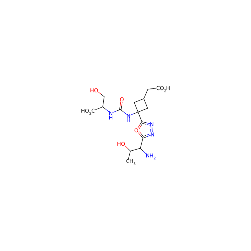 CC(O)C(N)c1nnc(C2(NC(=O)NC(CO)C(=O)O)CC(CC(=O)O)C2)o1